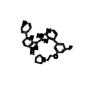 Fc1cc(OCCN2CCCC2)cc(-c2ccnc3[nH]c(-c4n[nH]c5ccc(-c6ccncc6)nc45)nc23)c1